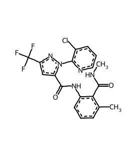 CNC(=O)c1c(C)cccc1NC(=O)c1cc(C(F)(F)F)nn1-c1ncccc1Cl